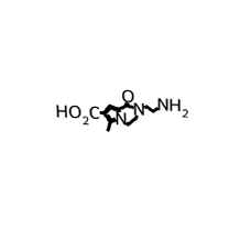 Cc1c(C(=O)O)cc2n1CCN(CCN)C2=O